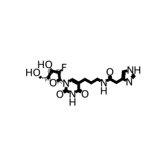 O=C(Cc1c[nH]cn1)NCCCc1cn([C@@H]2O[C@H](CO)[C@@H](O)[C@H]2F)c(=O)[nH]c1=O